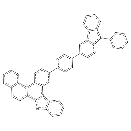 c1ccc(-n2c3ccccc3c3cc(-c4ccc(-c5ccc6c7c8ccccc8ccc7c7nc8ccccc8n7c6c5)cc4)ccc32)cc1